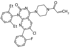 C=CC(=O)N1CCN(c2nc(=O)n(-c3c(CC)cccc3CC)c3nc(-c4ccccc4F)c(Cl)cc23)CC1